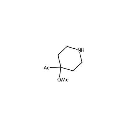 COC1(C(C)=O)CCNCC1